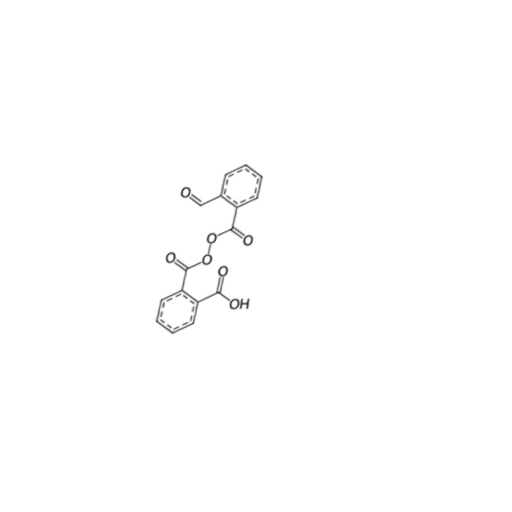 O=Cc1ccccc1C(=O)OOC(=O)c1ccccc1C(=O)O